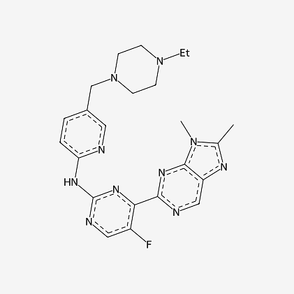 CCN1CCN(Cc2ccc(Nc3ncc(F)c(-c4ncc5nc(C)n(C)c5n4)n3)nc2)CC1